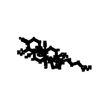 CN1C(=O)CC[C@]2(C)[C@H]3CC[C@]4(C)[C@@H](CCCC(=O)O)CC[C@H]4[C@@H]3CC[C@@H]12